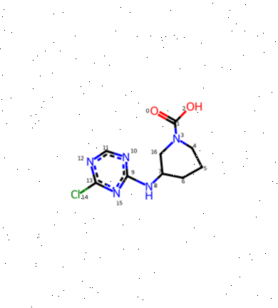 O=C(O)N1CCCC(Nc2ncnc(Cl)n2)C1